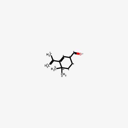 C=C(C)C1=CC(C=O)CCC1(C)C